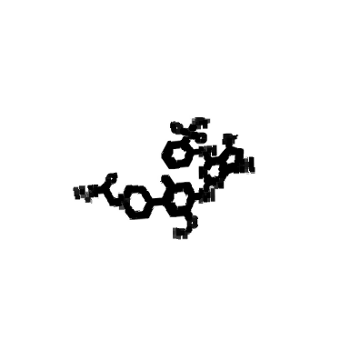 Cc1cc(Nc2nc(Nc3ccccc3S(=O)(=O)C(C)C)c3c(Br)c[nH]c3n2)c(OC(C)C)cc1C1CCN(CC(N)=O)CC1